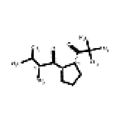 CC(C)[C@H](N)C(=O)N1CCC[C@H]1C(=O)C(C)(C)C